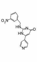 O=c1cc(-c2ccncc2)[nH]c(NCc2cccc([N+](=O)[O-])c2)n1